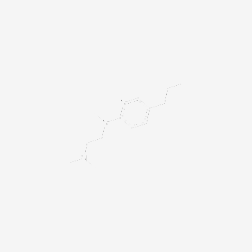 CC[C@H](C)c1ccc(N(C)CCN(C)C)nc1